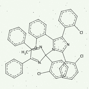 COc1ccccc1-c1c(-c2ccccc2Cl)nc(-c2ccccc2Cl)n1C1(c2ccccc2Cl)N=C(c2ccccc2)C(c2ccccc2)=N1